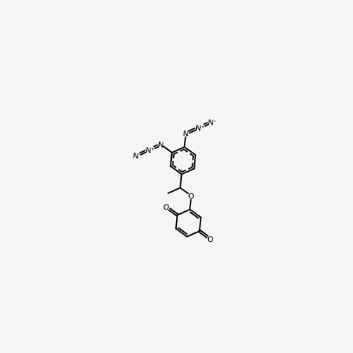 CC(OC1=CC(=O)C=CC1=O)c1ccc(N=[N+]=[N-])c(N=[N+]=[N-])c1